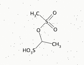 CC(OS(C)(=O)=O)S(=O)(=O)O